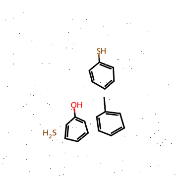 Cc1ccccc1.Oc1ccccc1.S.Sc1ccccc1